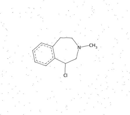 CN1CCc2ccccc2C(Cl)C1